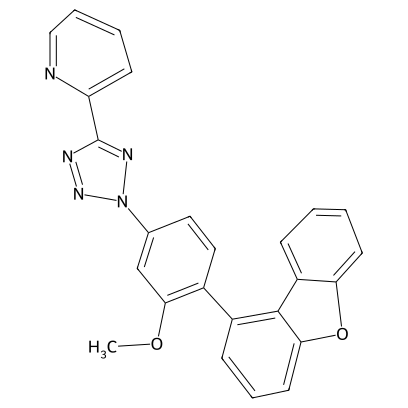 COc1cc(-n2nnc(-c3ccccn3)n2)ccc1-c1cccc2oc3ccccc3c12